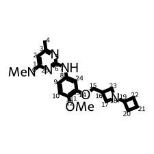 CNc1cc(C)nc(Nc2ccc(OC)c(OCC3CN(C4CCC4)C3)c2)n1